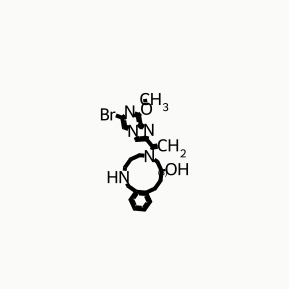 C=C(c1cn2cc(Br)nc(OC)c2n1)N1CCCNCc2ccccc2CC[C@H](O)C1